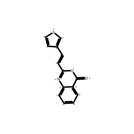 O=c1oc(C=Cc2ccsc2)nc2ccccc12